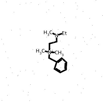 CCN(C)CC[N+](C)(C)Cc1ccccc1